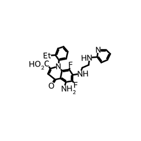 CCc1ccccc1-n1c(C(=O)O)cc(=O)c2c(N)c(F)c(NCCNc3ccccn3)c(F)c21